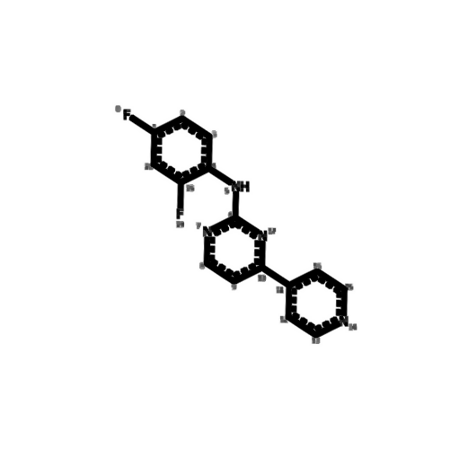 Fc1ccc(Nc2nccc(-c3ccncc3)n2)c(F)c1